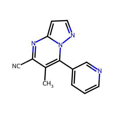 Cc1c(C#N)nc2ccnn2c1-c1cccnc1